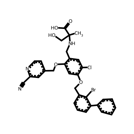 CC(CO)(NCc1cc(Cl)c(OCc2cccc(-c3ccccc3)c2Br)cc1OCc1ccnc(C#N)c1)C(=O)O